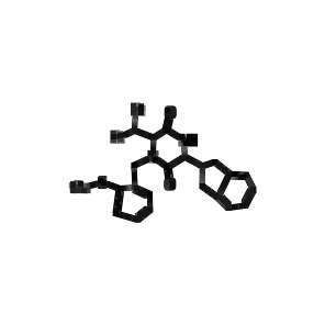 CCC(CC)C1C(=O)NC(C2Cc3ccccc3C2)C(=O)N1Cc1ccccc1SC(C)(C)C